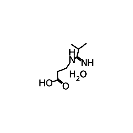 CC(C)C(=N)NCCC(=O)O.O